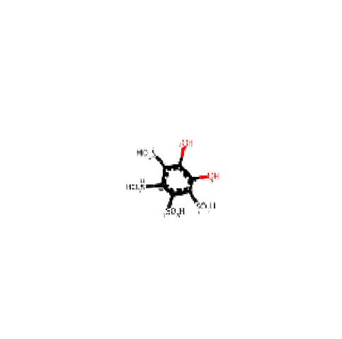 O=S(=O)(O)c1c(O)c(O)c(S(=O)(=O)O)c(S(=O)(=O)O)c1S(=O)(=O)O